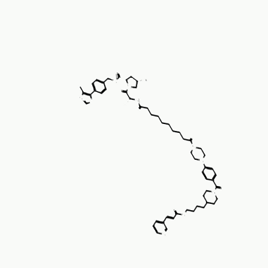 Cc1ncsc1-c1ccc(CNC(=O)[C@@H]2C[C@@H](O)CN2C(=O)[C@@H](NC(=O)CCCCCCCCC(=O)N2CCN(c3ccc(C(=O)N4CCC(CCCCNC(=O)/C=C/c5cccnc5)CC4)cc3)CC2)C(C)(C)C)cc1